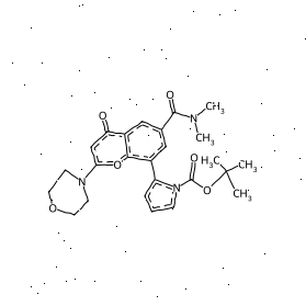 CN(C)C(=O)c1cc(-c2cccn2C(=O)OC(C)(C)C)c2oc(N3CCOCC3)cc(=O)c2c1